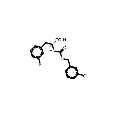 O=C(N[C@H](Cc1cccc(F)c1)C(=O)O)OCc1cccc(Cl)c1